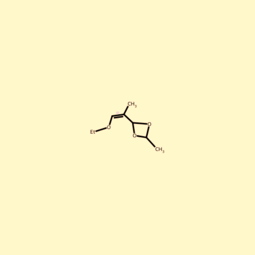 CCO/C=C(/C)C1OC(C)O1